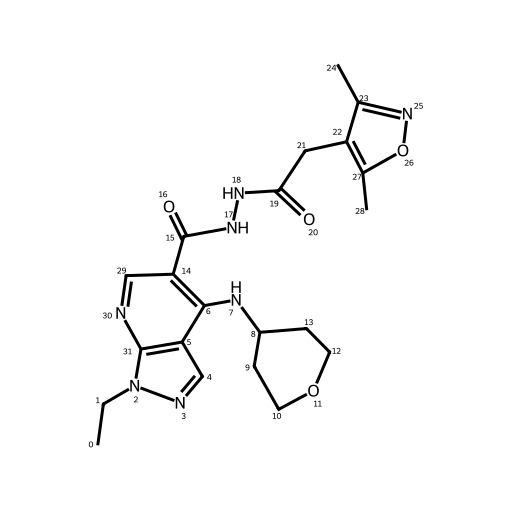 CCn1ncc2c(NC3CCOCC3)c(C(=O)NNC(=O)Cc3c(C)noc3C)cnc21